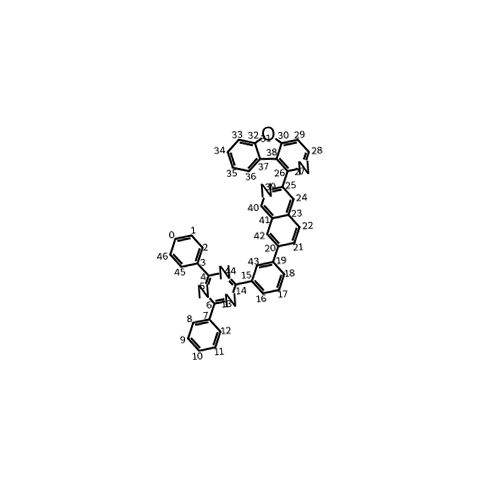 c1ccc(-c2nc(-c3ccccc3)nc(-c3cccc(-c4ccc5cc(-c6nccc7oc8ccccc8c67)ncc5c4)c3)n2)cc1